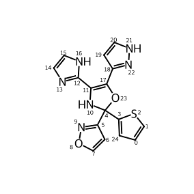 c1csc(C2(c3ccon3)NC(c3ncc[nH]3)=C(c3cc[nH]n3)O2)c1